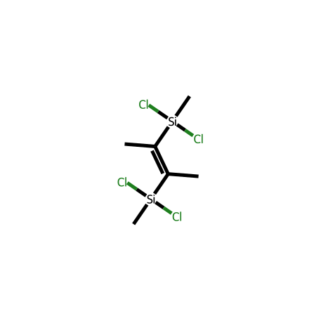 CC(=C(C)[Si](C)(Cl)Cl)[Si](C)(Cl)Cl